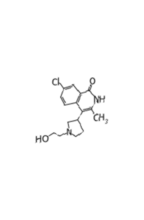 Cc1[nH]c(=O)c2cc(Cl)ccc2c1C1CCN(CCO)C1